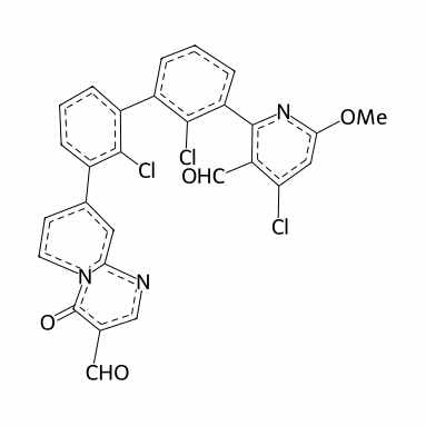 COc1cc(Cl)c(C=O)c(-c2cccc(-c3cccc(-c4ccn5c(=O)c(C=O)cnc5c4)c3Cl)c2Cl)n1